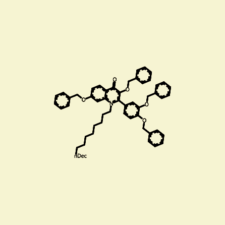 CCCCCCCCCCCCCCCCCCn1c(-c2ccc(OCc3ccccc3)c(OCc3ccccc3)c2)c(OCc2ccccc2)c(=O)c2ccc(OCc3ccccc3)cc21